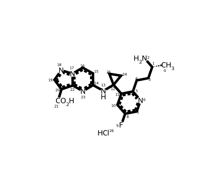 C[C@@H](N)CCc1ncc(F)cc1C1(Nc2ccn3ncc(C(=O)O)c3n2)CC1.Cl